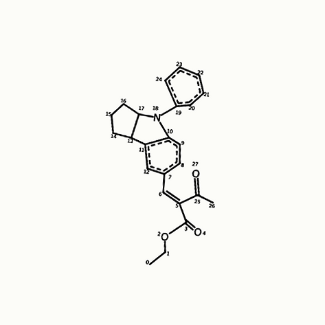 CCOC(=O)/C(=C/c1ccc2c(c1)C1CCCC1N2c1ccccc1)C(C)=O